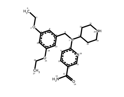 CCOc1cc(CN(c2ccc(C(N)=O)cn2)C2CCNCC2)cc(OCC)c1